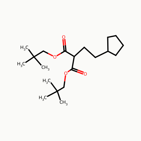 CC(C)(C)COC(=O)C(CCC1CCCC1)C(=O)OCC(C)(C)C